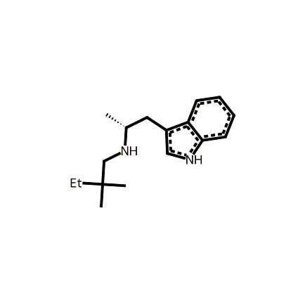 CCC(C)(C)CN[C@H](C)Cc1c[nH]c2ccccc12